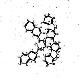 c1ccc2cc(-c3nc(-c4ccc5ccccc5c4)nc(-c4c(-c5ccc6c(c5)oc5ccccc56)ccc5oc6ccccc6c45)n3)ccc2c1